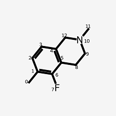 Cc1ccc2c(c1F)CCN(C)C2